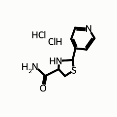 Cl.Cl.NC(=O)C1CSC(c2ccncc2)N1